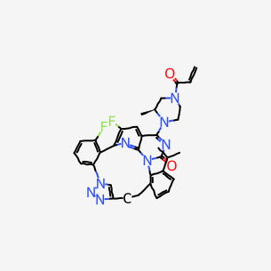 C=CC(=O)N1CCN(c2nc(=O)n3c4nc(c(F)cc24)-c2c(F)cccc2-n2cc(nn2)CCc2cccc(C(C)C)c2-3)[C@@H](C)C1